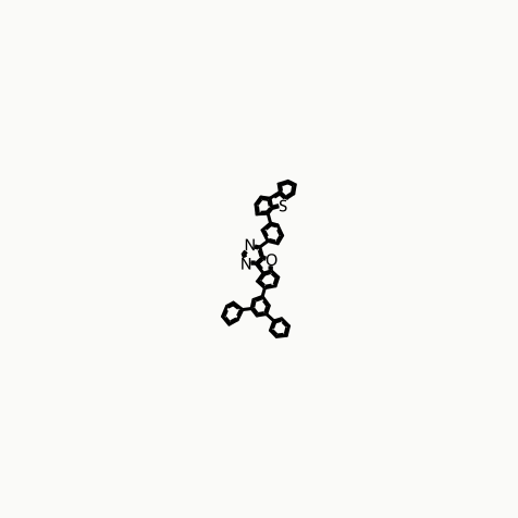 c1ccc(-c2cc(-c3ccccc3)cc(-c3ccc4oc5c(-c6cccc(-c7cccc8c7sc7ccccc78)c6)ncnc5c4c3)c2)cc1